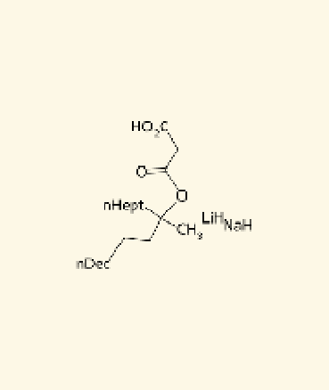 CCCCCCCCCCCCC(C)(CCCCCCC)OC(=O)CC(=O)O.[LiH].[NaH]